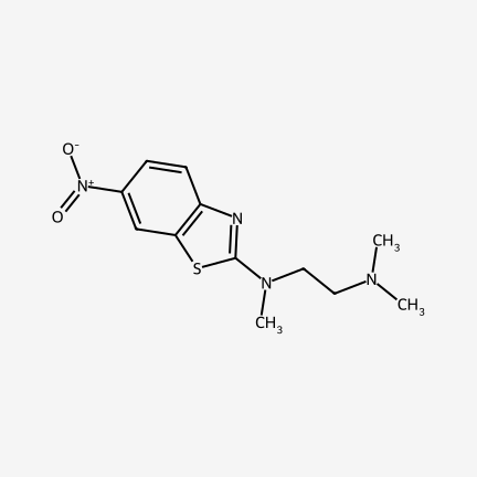 CN(C)CCN(C)c1nc2ccc([N+](=O)[O-])cc2s1